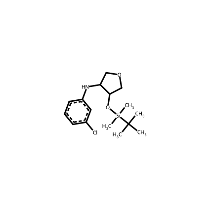 CC(C)(C)[Si](C)(C)OC1COCC1Nc1cccc(Cl)c1